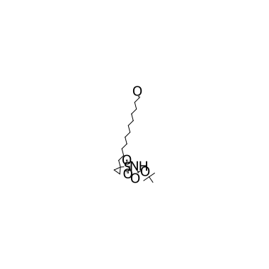 CC(C)(C)OC(=O)NS(=O)(=O)C1(CCCCCCCCCCCC=O)CC1